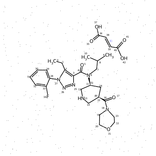 CCc1c(C(=O)N(CC(C)C)[C@@H]2CNC[C@H](C(=O)N3CCOCC3)C2)nnn1-c1ccccc1F.O=C(O)/C=C/C(=O)O